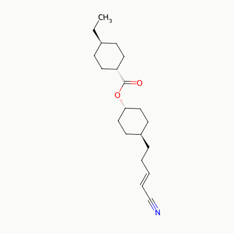 CC[C@H]1CC[C@H](C(=O)O[C@H]2CC[C@H](CCC=CC#N)CC2)CC1